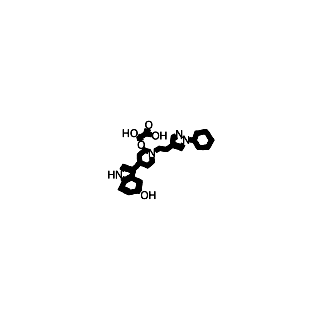 O=C(O)C(=O)O.Oc1ccc2[nH]cc(C3CCN(CCc4cnn(C5CCCCC5)c4)CC3)c2c1